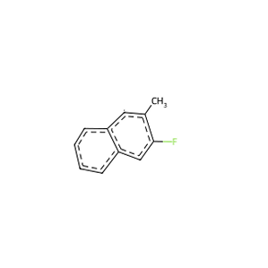 Cc1[c]c2ccccc2cc1F